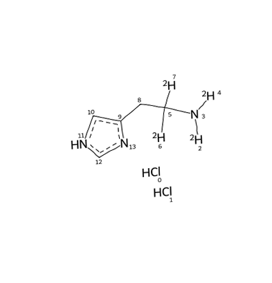 Cl.Cl.[2H]N([2H])C([2H])([2H])Cc1c[nH]cn1